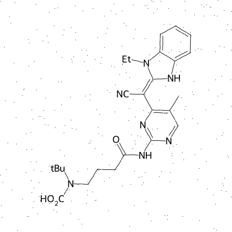 CCN1/C(=C(\C#N)c2nc(NC(=O)CCCN(C(=O)O)C(C)(C)C)ncc2C)Nc2ccccc21